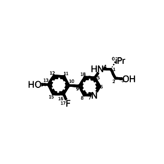 CC(C)[C@H](CO)Nc1cncc(-c2ccc(O)cc2F)c1